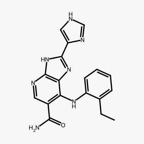 CCc1ccccc1Nc1c(C(N)=O)cnc2[nH]c(-c3c[nH]cn3)nc12